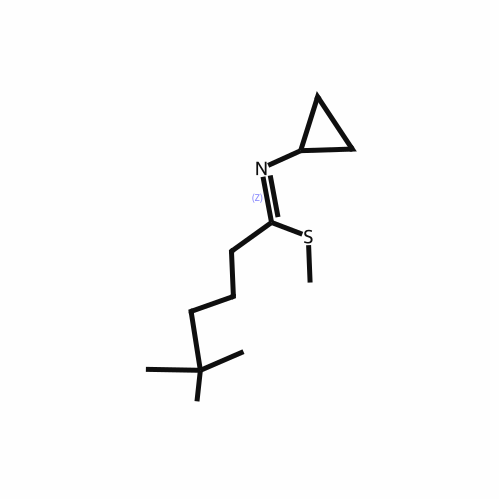 CS/C(CCCC(C)(C)C)=N\C1CC1